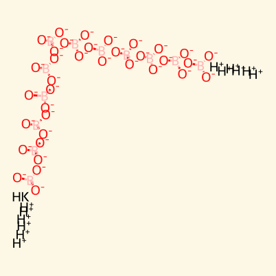 [H+].[H+].[H+].[H+].[H+].[H+].[H+].[H+].[H+].[H+].[H+].[H+].[KH].[O-]B([O-])[O-].[O-]B([O-])[O-].[O-]B([O-])[O-].[O-]B([O-])[O-].[O-]B([O-])[O-].[O-]B([O-])[O-].[O-]B([O-])[O-].[O-]B([O-])[O-].[O-]B([O-])[O-].[O-]B([O-])[O-].[O-]B([O-])[O-].[O-]B([O-])[O-]